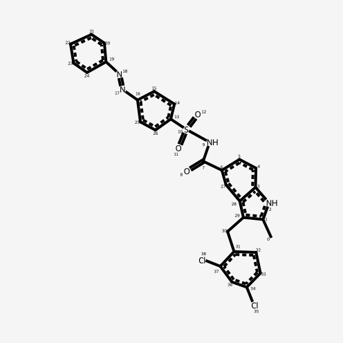 Cc1[nH]c2ccc(C(=O)NS(=O)(=O)c3ccc(N=Nc4ccccc4)cc3)cc2c1Cc1ccc(Cl)cc1Cl